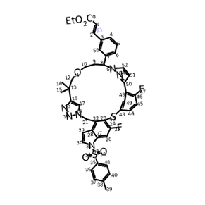 CCOC(=O)/C=C/c1cccc(C2CCOCC(C)(C)c3cn(nn3)Cc3c(c(F)cc4c3ccn4S(=O)(=O)c3ccc(C)cc3)Sc3ccc(F)c(c3)-c3ccn2n3)c1